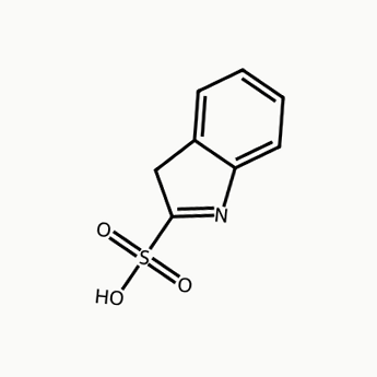 O=S(=O)(O)C1=Nc2ccccc2C1